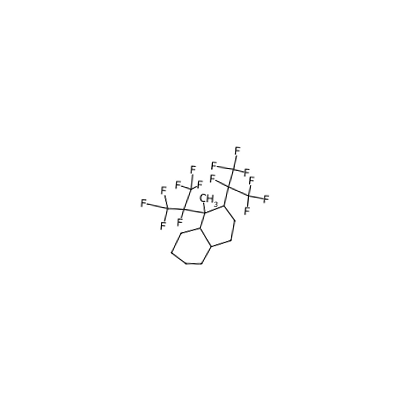 CC1(C(F)(C(F)(F)F)C(F)(F)F)C2CCCCC2CCC1C(F)(C(F)(F)F)C(F)(F)F